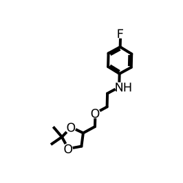 CC1(C)OCC(COCCNc2ccc(F)cc2)O1